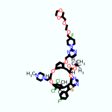 Cc1c(Cl)c2c(Cl)c(C)c1-c1c(-c3ccc(F)cc3)sc3ncnc(c13)O[C@@H](C(=O)OC(C)(C)C)Cc1cc(ccc1OCc1ccnc(N3CCC(F)(COCCOCC4COCCO4)CC3)n1)OC[C@@H](CN1CCN(C)CC1)O2